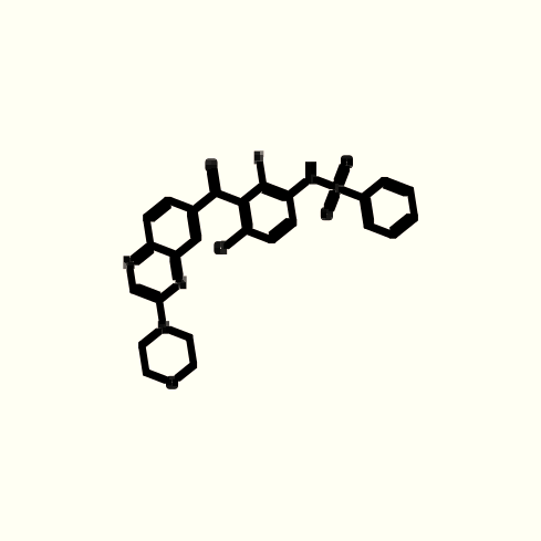 O=C(c1ccc2ncc(N3CCOCC3)nc2c1)c1c(Cl)ccc(NS(=O)(=O)c2ccccc2)c1F